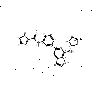 O=C(Nc1cc(-c2nc(N[C@@H]3CCNC3)c3sccc3n2)ccn1)c1cccs1